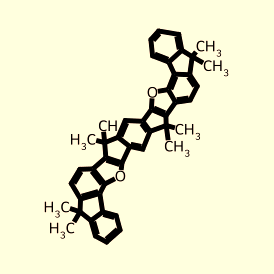 CC1(C)c2ccccc2-c2c1ccc1c3c(oc21)-c1cc2c(cc1C3(C)C)-c1oc3c4c(ccc3c1C2(C)C)C(C)(C)c1ccccc1-4